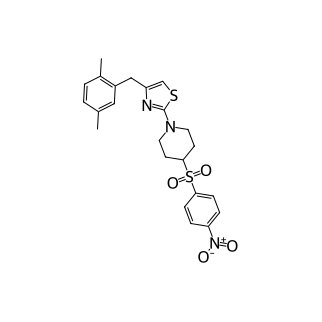 Cc1ccc(C)c(Cc2csc(N3CCC(S(=O)(=O)c4ccc([N+](=O)[O-])cc4)CC3)n2)c1